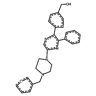 OCc1ccc(-c2ncc(N3CCN(Cc4ccccc4)CC3)nc2-c2ccccc2)cc1